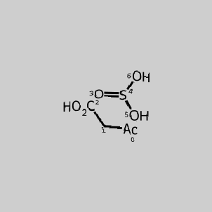 CC(=O)CC(=O)O.O=S(O)O